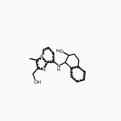 Cc1c(CO)nc2c(NC3c4ccccc4CCC3O)cccn12